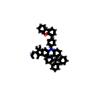 C/C=C\C1=C(C)c2ccc(N(c3ccc(-c4cccc5c4oc4ccccc45)cc3)c3cccc4c3-c3ccccc3C43C4=CC=CCC4c4ccccc43)cc2C1(C)C